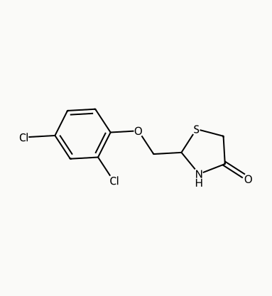 O=C1CSC(COc2ccc(Cl)cc2Cl)N1